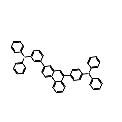 c1ccc(N(c2ccccc2)c2ccc(-c3cc4cc(-c5cccc(N(c6ccccc6)c6ccccc6)c5)ccc4c4ccccc34)cc2)cc1